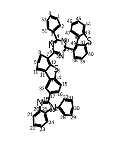 c1ccc(-c2nc(-c3cccc4c3sc3ccc(-c5nc6ccccc6n5-c5ccccc5)cc34)nc(-c3cccc4sc5ccccc5c34)n2)cc1